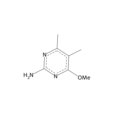 COc1nc(N)nc(C)c1C